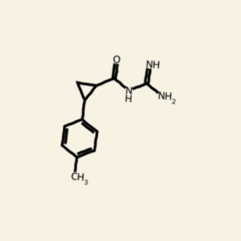 Cc1ccc(C2CC2C(=O)NC(=N)N)cc1